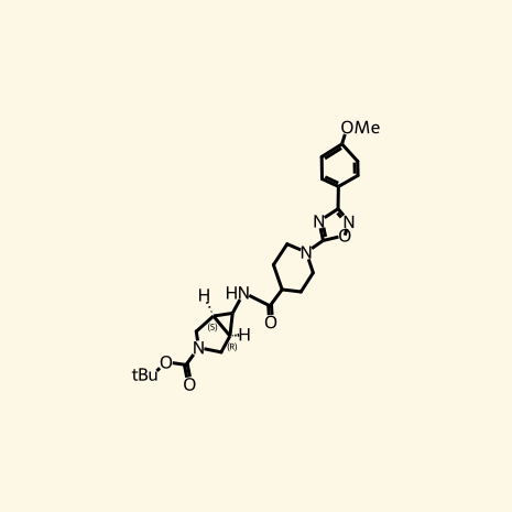 COc1ccc(-c2noc(N3CCC(C(=O)NC4[C@H]5CN(C(=O)OC(C)(C)C)C[C@@H]45)CC3)n2)cc1